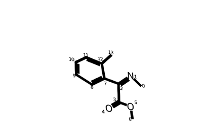 CN=C(C(=O)OC)c1ccccc1C